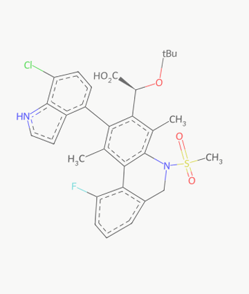 Cc1c(-c2ccc(Cl)c3[nH]ccc23)c([C@H](OC(C)(C)C)C(=O)O)c(C)c2c1-c1c(F)cccc1CN2S(C)(=O)=O